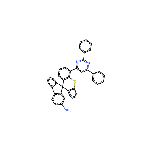 Nc1ccc2c(c1)C1(c3ccccc3Sc3c(-c4cc(-c5ccccc5)nc(-c5ccccc5)n4)cccc31)c1ccccc1-2